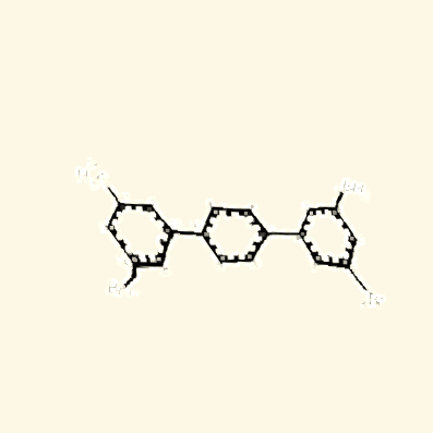 Bc1cc(Br)cc(-c2ccc(-c3cc(C)cc(Br)c3)cc2)c1